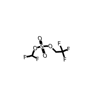 O=S(=O)(OCC(F)(F)F)OC(F)F